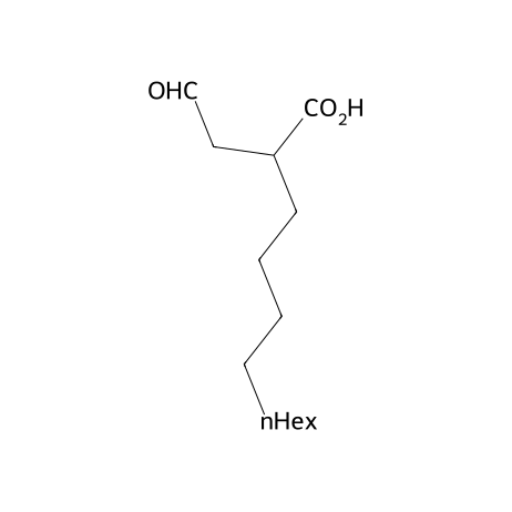 CCCCCCCCCCC(CC=O)C(=O)O